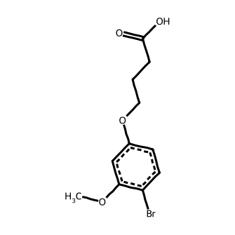 COc1cc(OCCCC(=O)O)ccc1Br